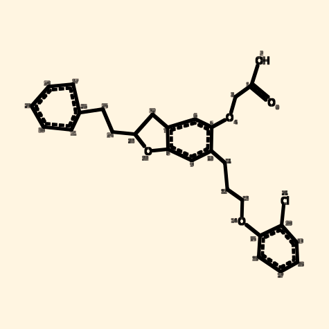 O=C(O)COc1cc2c(cc1CCCOc1ccccc1Cl)OC(CCc1ccccc1)C2